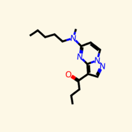 CCCCCN(C)c1ccn2ncc(C(=O)CCC)c2n1